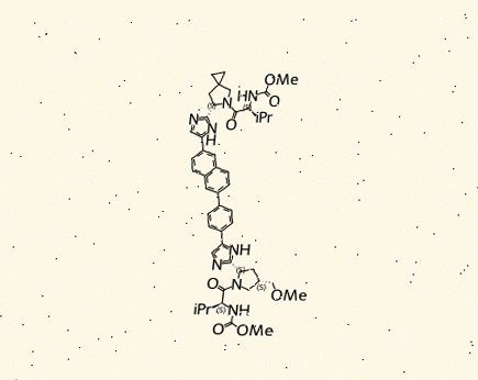 COC[C@H]1C[C@@H](c2ncc(-c3ccc(-c4ccc5cc(-c6cnc([C@@H]7CC8(CC8)CN7C(=O)[C@@H](NC(=O)OC)C(C)C)[nH]6)ccc5c4)cc3)[nH]2)N(C(=O)[C@@H](NC(=O)OC)C(C)C)C1